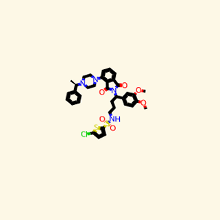 COc1ccc(C(CCCNS(=O)(=O)c2ccc(Cl)s2)N2C(=O)c3cccc(N4CCN([C@H](C)c5ccccc5)CC4)c3C2=O)cc1OC